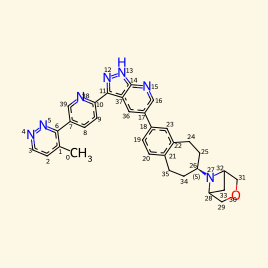 Cc1ccnnc1-c1ccc(-c2n[nH]c3ncc(-c4ccc5c(c4)CC[C@@H](N4C6COCC4C6)CC5)cc23)nc1